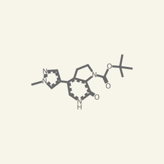 Cn1cc(-c2c[nH]c(=O)c3c2CCN3C(=O)OC(C)(C)C)cn1